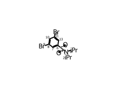 CC(C)N(C(C)C)S(=O)(=O)c1cc(Br)cc(Br)c1